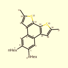 CCCCCCc1cc2c(cc1CCCCCC)c1cc(C)sc1c1sc(C)cc21